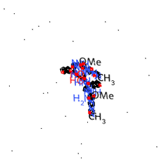 COc1cc(N2CCC(N3CCN(C)CC3)CC2)c(N)cc1Nc1nccc(-c2[nH]c(CCC(O)C(CCO)c3nc(-c4ccc5ccccc5c4)c(-c4ccnc(Nc5cc(N)c(N6CCC(N7CCN(C)CC7)CC6)cc5OC)n4)[nH]3)nc2-c2ccc3ccccc3c2)n1